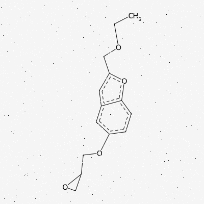 CCOCc1cc2cc(OCC3CO3)ccc2o1